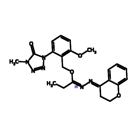 CC/C(=N/N=C1CCOc2ccccc21)OCc1c(OC)cccc1-n1nnn(C)c1=O